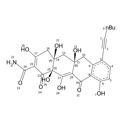 CCCCC#Cc1ccc(O)c2c1C[C@@]1(O)C[C@@]3(O)CC(O)=C(C(N)=O)C(=O)[C@@]3(O)C(O)=C1C2=O